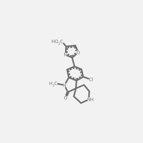 CN1C(=O)C2(CCNCC2)c2c(Cl)cc(-c3nc(C(=O)O)co3)cc21